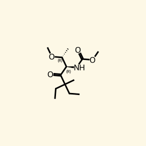 CCC(C)(CC)C(=O)[C@H](NC(=O)OC)[C@@H](C)OC